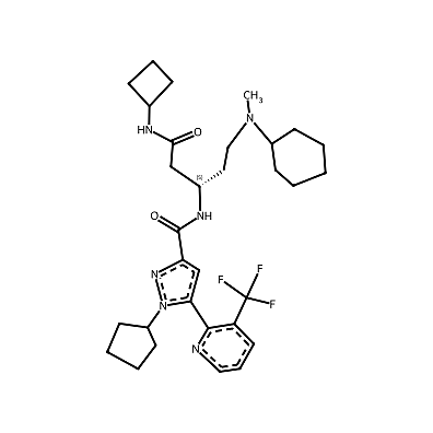 CN(CC[C@@H](CC(=O)NC1CCC1)NC(=O)c1cc(-c2ncccc2C(F)(F)F)n(C2CCCC2)n1)C1CCCCC1